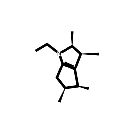 CCN1C2=C([C@@H](C)[C@@H](C)C2)[C@H](C)[C@@H]1C